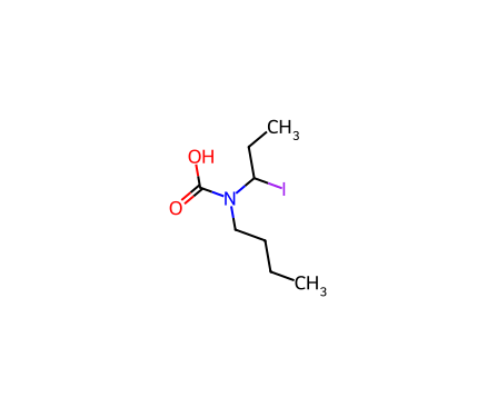 CCCCN(C(=O)O)C(I)CC